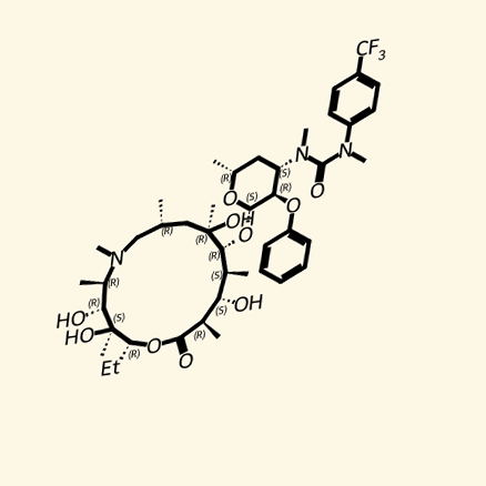 CC[C@H]1OC(=O)[C@H](C)[C@@H](O)[C@H](C)[C@@H](O[C@@H]2O[C@H](C)C[C@H](N(C)C(=O)N(C)c3ccc(C(F)(F)F)cc3)[C@H]2Oc2ccccc2)[C@](C)(O)C[C@@H](C)CN(C)[C@H](C)[C@@H](O)[C@]1(C)O